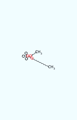 CCCCC=COC(COCCCCCCCCCCCCCCCC)COC(c1ccccc1)(c1ccccc1)c1ccccc1